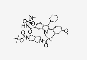 COc1ccc2c(c1)C1CC1(C(=O)N1CC3CN(C(=O)OC(C)(C)C)CC3C1)Cn1c-2c(C2CCCCC2)c2ccc(C(=O)NS(=O)(=O)N(C)C)cc21